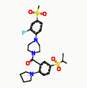 CC(C)S(=O)(=O)c1ccc(N2CCCC2)c(C(=O)N2CCN(c3ccc(S(C)(=O)=O)cc3F)CC2)c1